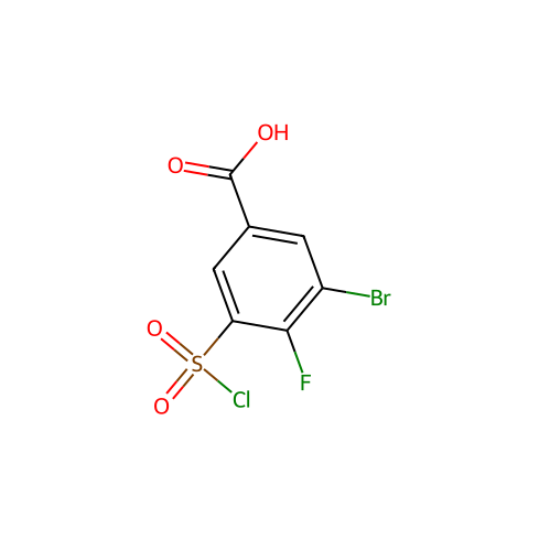 O=C(O)c1cc(Br)c(F)c(S(=O)(=O)Cl)c1